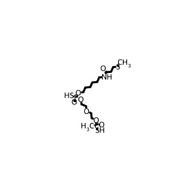 CSCCC(=O)NCCCCCCOP(=O)(S)OCCOCCOP(C)(=O)S